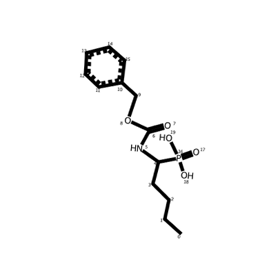 CCCCC(NC(=O)OCc1ccccc1)P(=O)(O)O